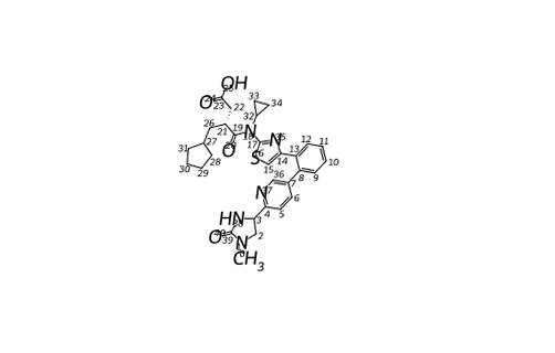 CN1CC(c2ccc(-c3ccccc3-c3csc(N(C(=O)[C@@H](CC(=O)O)CC4CCCC4)C4CC4)n3)cn2)NC1=O